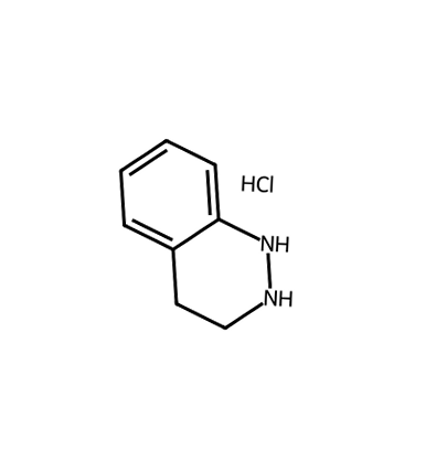 Cl.c1ccc2c(c1)CCNN2